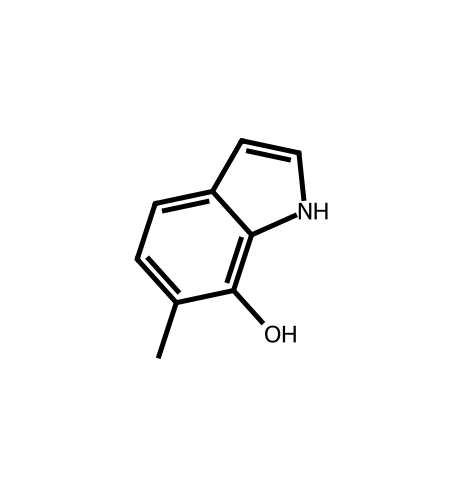 Cc1ccc2cc[nH]c2c1O